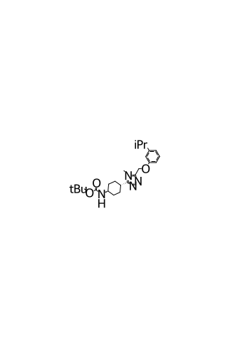 CC(C)c1cccc(OCc2nnc([C@H]3CC[C@H](NC(=O)OC(C)(C)C)CC3)n2C)c1